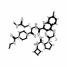 CCOC(=O)N1CCN(C(=O)[C@H](CCC(=O)OC)NC(=O)c2cc(O[C@H](C)C(=O)N3CCC[C@H]3C(=O)NC3CCC3)c3ccc(C)cc3n2)CC1